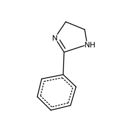 c1ccc(C2=NCCN2)cc1